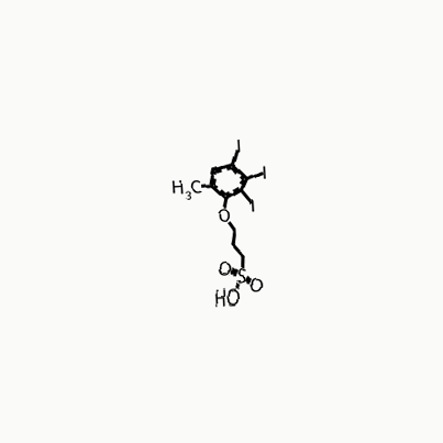 Cc1cc(I)c(I)c(I)c1OCCCS(=O)(=O)O